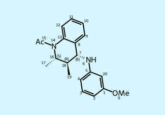 COc1cccc(N[C@H]2c3ccccc3N(C(C)=O)[C@@H](C)[C@@H]2C)c1